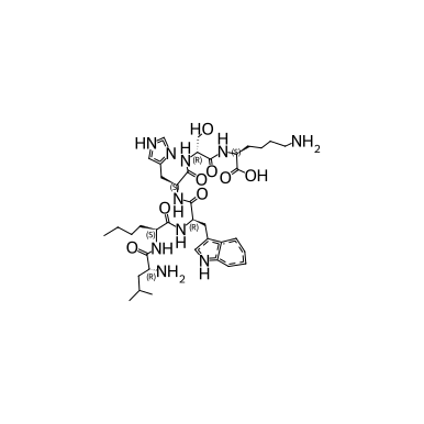 CCCC[C@H](NC(=O)[C@H](N)CC(C)C)C(=O)N[C@H](Cc1c[nH]c2ccccc12)C(=O)N[C@@H](Cc1c[nH]cn1)C(=O)N[C@H](CO)C(=O)N[C@@H](CCCCN)C(=O)O